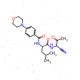 CC(=O)C(C#N)NC(=O)C(CC(C)C)NC(=O)c1ccc(N2CCOCC2)cc1